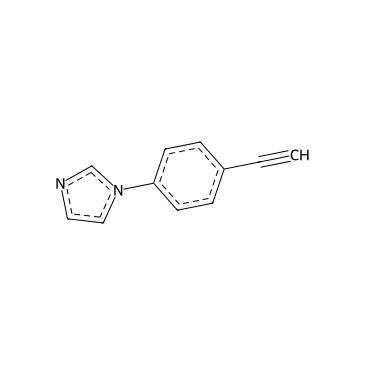 C#Cc1ccc(-n2ccnc2)cc1